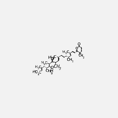 CC(C=C[C@@H]1OC(=O)C=C[C@@H]1C)=CC(C)CC=CC(C)=CC(C)C(=O)C(C)C(O)C(C)CC(C)=CC(=O)O